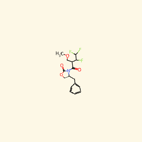 COCC(C(=O)N1C(=O)OCC1Cc1ccccc1)C(F)C(F)F